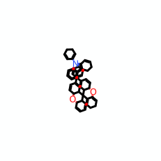 C1=CC2OC3C=CC(C4=CCCC=C4)=CC3C3(C4=CCCC=C4OC4C=CC(c5cccc6c5c5c(n6C6=CCCC=C6)C=CCC5)=CC43)C2C=C1